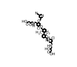 Cc1c(COc2cc(OCc3cncc(C#N)c3)c(CNC[C@@H](O)CC(=O)O)cc2Cl)cccc1-c1cccc(-c2nc3c(Cl)cc(CNC[C@@H](O)CC(=O)O)cn3n2)c1C